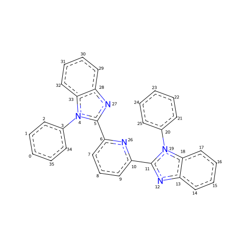 c1ccc(-n2c(-c3cccc(-c4nc5ccccc5n4-c4ccccc4)n3)nc3ccccc32)cc1